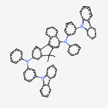 CC1(C)c2cc(N(c3ccccc3)c3cccc(-n4c5ccccc5c5ccccc54)c3)ccc2-c2c1cc(N(c1ccccc1)c1cccc(-n3c4ccccc4c4ccccc43)c1)c1ccccc21